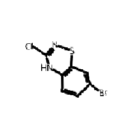 ClC1=NSc2cc(Br)ccc2N1